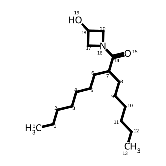 CCCCCCCC(CCCCCC)C(=O)N1CC(O)C1